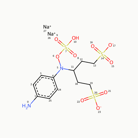 Nc1ccc(N(OS(=O)(=O)O)C(CCS(=O)(=O)[O-])CCS(=O)(=O)[O-])cc1.[Na+].[Na+]